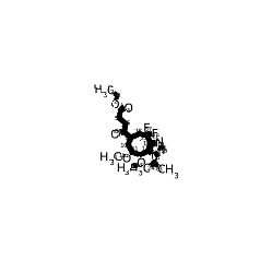 CCOC(=O)CCC(=O)C1C[C@H](OC)[C@@H](OC)c2c(nnn2C(C)C)C(F)(F)C1